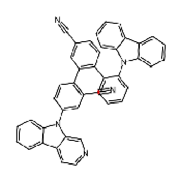 N#Cc1ccc(-c2ccccc2-n2c3ccccc3c3ccccc32)c(-c2ccc(-n3c4ccccc4c4ccncc43)cc2C#N)c1